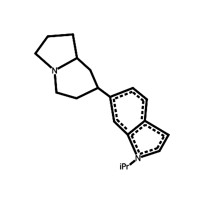 CC(C)n1ccc2ccc(C3CCN4CCCC4C3)cc21